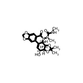 CNC(=O)N(C)N1C(=O)c2cc3c(cc2C2=C[C@@H](O)[C@@H]4OC(C)(C)O[C@@H]4[C@H]21)OCO3